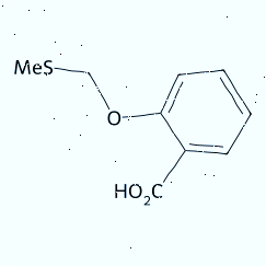 CSCOc1ccccc1C(=O)O